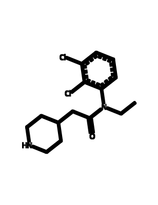 CCN(C(=O)CC1CCNCC1)c1cccc(Cl)c1Cl